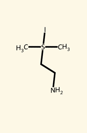 CS(C)(I)CCN